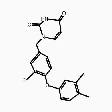 Cc1ccc(Oc2ccc(Cn3ccc(=O)[nH]c3=O)cc2Cl)cc1C